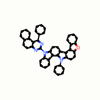 c1ccc(-c2nc(-n3c4ccccc4c4c3ccc3c5c6c(ccc5n(-c5ccccc5)c34)oc3ccccc36)nc3ccc4ccccc4c23)cc1